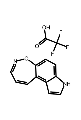 C1=Cc2c(ccc3[nH]ccc23)ON=C1.O=C(O)C(F)(F)F